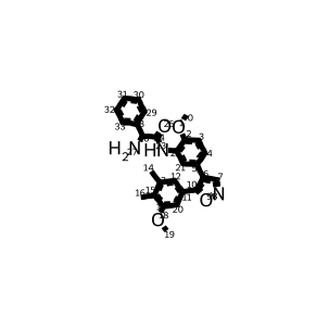 COc1ccc(-c2cnoc2-c2cc(C)c(C)c(OC)c2)cc1NC(=O)C(N)c1ccccc1